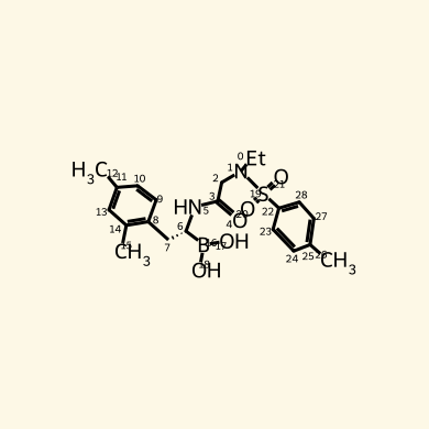 CCN(CC(=O)N[C@@H](Cc1ccc(C)cc1C)B(O)O)S(=O)(=O)c1ccc(C)cc1